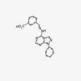 O=C(O)c1cccc(C=NNc2ncnc3c2cnn3-c2ccccc2)c1